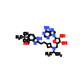 CC(C)N(C[C@H]1O[C@@H](n2cnc3c(N)ncnc32)[C@H](O)[C@@H]1O)C1CC(CCc2nc3c(O)c(C(C)(C)C)ccc3[nH]2)C1